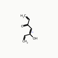 C=CC(=O)/C=C(/O)C=C